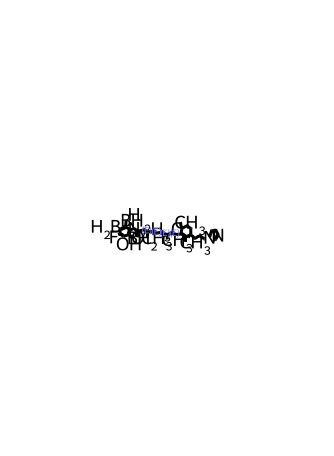 Bc1c(B)c(NC(=O)/C=C(C)/C=C/C=C(C)/C=C/C2=C(C)C(CCCn3ccnc3)CCC2(C)C)c(B)c(O)c1F